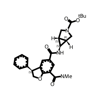 CNC(=O)c1cc(C(=O)N[C@H]2[C@@H]3CN(C(=O)OC(C)(C)C)C[C@@H]32)cc2c1OC[C@H]2c1ccccc1